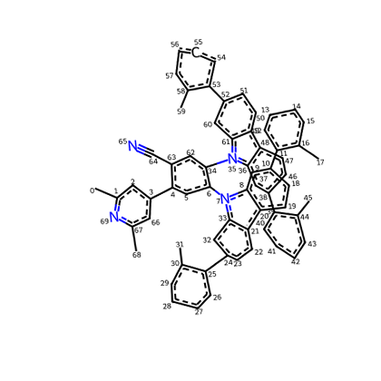 Cc1cc(-c2cc(-n3c4cc(-c5ccccc5C)ccc4c4ccc(-c5ccccc5C)cc43)c(-n3c4cc(-c5ccccc5C)ccc4c4ccc(-c5ccccc5C)cc43)cc2C#N)cc(C)n1